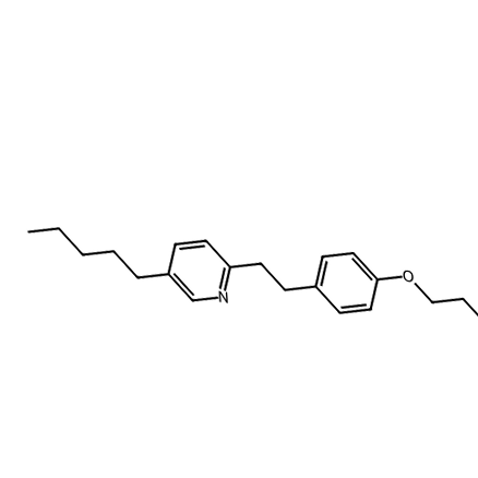 CCCCCc1ccc(CCc2ccc(OCCC)cc2)nc1